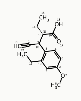 C#C[C@H](c1ccc(OC)cc1CC)[C@H](CC)C(=O)O